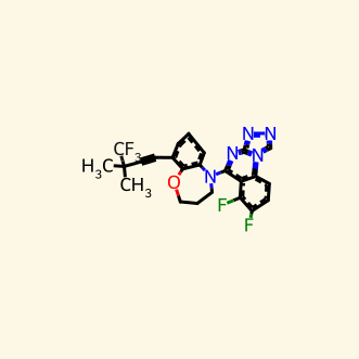 CC(C)(C#Cc1cccc2c1OCCCN2c1nc2nncn2c2ccc(F)c(F)c12)C(F)(F)F